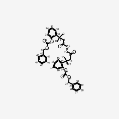 CC(C)(CC(=O)SSC(=O)CC(C)(C)c1ccccc1OC(=O)OCc1ccccc1)c1ccccc1OC(=O)OCc1ccccc1